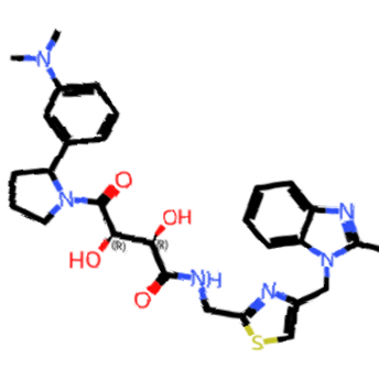 Cc1nc2ccccc2n1Cc1csc(CNC(=O)[C@H](O)[C@@H](O)C(=O)N2CCCC2c2cccc(N(C)C)c2)n1